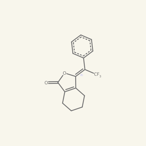 O=C1O/C(=C(\c2ccccc2)C(F)(F)F)C2=C1CCCC2